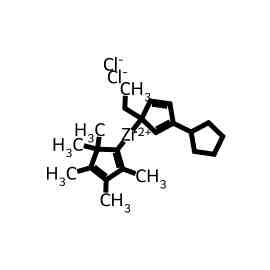 CC[C]1([Zr+2][C]2=C(C)C(C)=C(C)C2(C)C)C=CC(C2CCCC2)=C1.[Cl-].[Cl-]